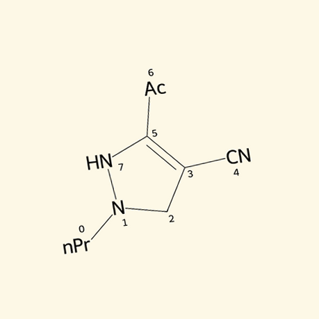 CCCN1CC(C#N)=C(C(C)=O)N1